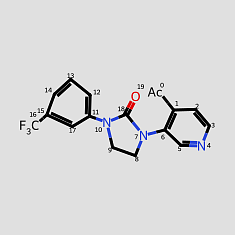 CC(=O)c1ccncc1N1CCN(c2cccc(C(F)(F)F)c2)C1=O